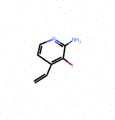 C=Cc1ccnc(N)c1I